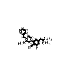 CC(C)Cc1cc(F)c(C#N)c(N2CCN(Cc3cccnn3)[C@@H](C)C2)c1